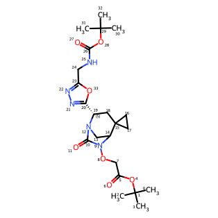 CC(C)(C)OC(=O)CON1C(=O)N2CC1C1(CC1)C[C@H]2c1nnc(CNC(=O)OC(C)(C)C)o1